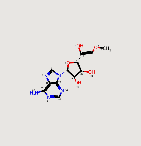 COC=C(O)[C@H]1O[C@@H](n2cnc3c(N)ncnc32)[C@H](O)[C@@H]1O